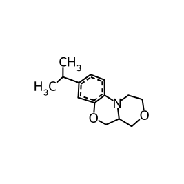 CC(C)c1ccc2c(c1)OCC1COCCN21